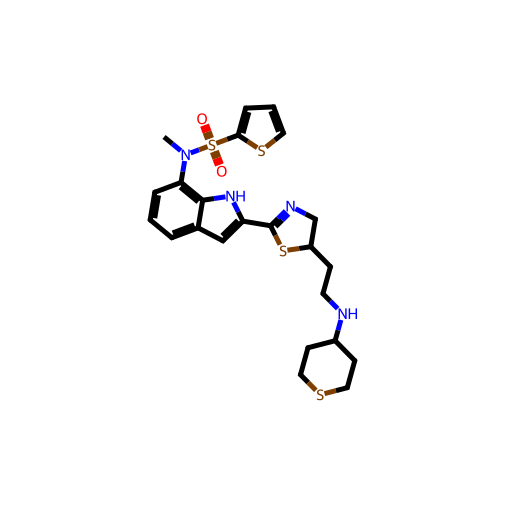 CN(c1cccc2cc(C3=NCC(CCNC4CCSCC4)S3)[nH]c12)S(=O)(=O)c1cccs1